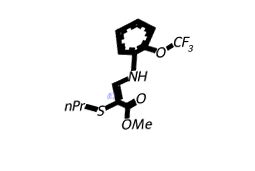 CCCS/C(=C/Nc1ccccc1OC(F)(F)F)C(=O)OC